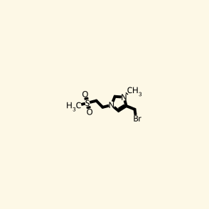 CN1CN(CCS(C)(=O)=O)C=C1CBr